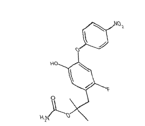 CC(C)(Cc1cc(O)c(Oc2ccc([N+](=O)[O-])cc2)cc1F)OC(N)=O